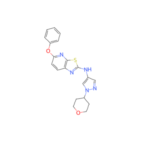 c1ccc(Oc2ccc3nc(Nc4cnn(C5CCOCC5)c4)sc3n2)cc1